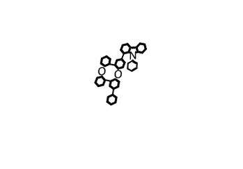 C1=CCCC(n2c3ccccc3c3cccc(-c4ccc5c(c4)-c4ccccc4Oc4ccccc4-c4cc(-c6ccccc6)ccc4O5)c32)=C1